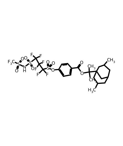 CC1CC2CC(C)CC(C(C)(C)OC(=O)c3ccc(OS(=O)(=O)C(F)(F)C(F)(F)C(F)(F)S(=O)(=O)NS(=O)(=O)C(F)(F)F)cc3)(C1)C2